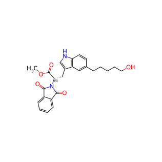 COC(=O)[C@H](Cc1c[nH]c2ccc(CCCCCO)cc12)N1C(=O)c2ccccc2C1=O